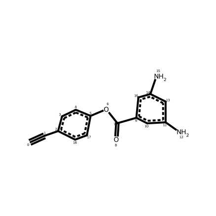 C#Cc1ccc(OC(=O)c2cc(N)cc(N)c2)cc1